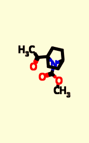 COC(=O)N1C2CCC1(C(C)=O)CC2